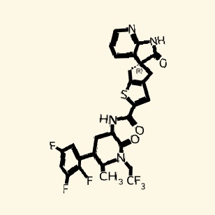 CC1C(c2cc(F)cc(F)c2F)CC(NC(=O)c2cc3c(s2)C[C@@]2(C3)C(=O)Nc3ncccc32)C(=O)N1CC(F)(F)F